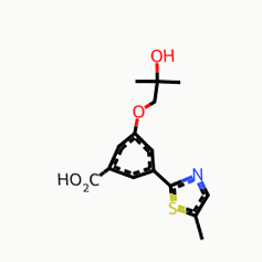 Cc1cnc(-c2cc(OCC(C)(C)O)cc(C(=O)O)c2)s1